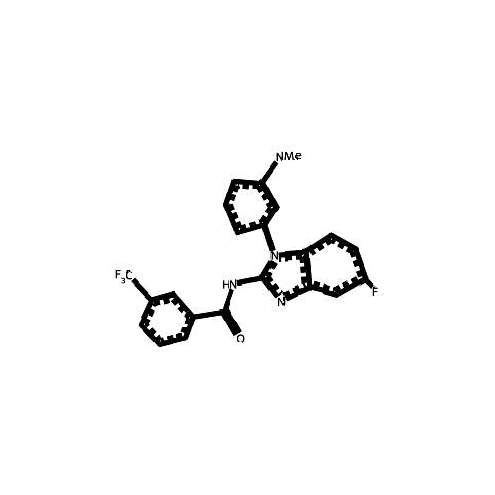 CNc1cccc(-n2c(NC(=O)c3cccc(C(F)(F)F)c3)nc3cc(F)ccc32)c1